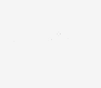 CC(C)(C)CCCOOC(C)(C)c1ccccc1